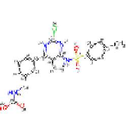 Cc1ccc(S(=O)(=O)n2ccc3c(-c4cccc(CNC(=O)O)c4)nc(Cl)nc32)cc1